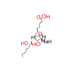 CCCCC[C@H](O)/C=C/[C@@H]1[C@H]2C/C(=C/CCCC(=O)O)O[C@H]2C[C@H]1O.[NaH]